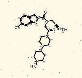 C#CCN(CC(=O)N1CCN(C2CCN(C)CC2)CC1)C(=O)c1cc2ccc(Cl)cc2s1.Cl